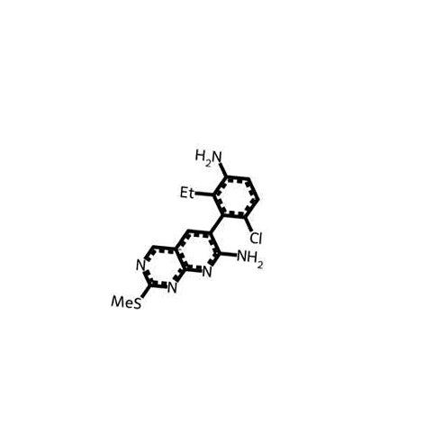 CCc1c(N)ccc(Cl)c1-c1cc2cnc(SC)nc2nc1N